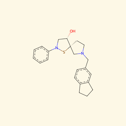 O[C@H]1CN(c2ccccc2)S[C@@]12CCN(Cc1ccc3c(c1)CCC3)C2